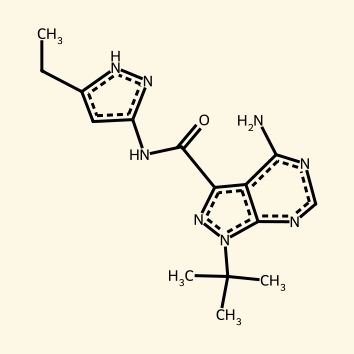 CCc1cc(NC(=O)c2nn(C(C)(C)C)c3ncnc(N)c23)n[nH]1